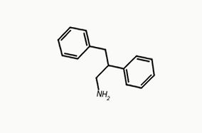 NCC(Cc1ccccc1)c1ccccc1